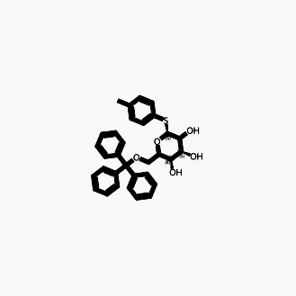 Cc1ccc(S[C@@H]2OC(COC(c3ccccc3)(c3ccccc3)c3ccccc3)[C@H](O)[C@H](O)C2O)cc1